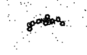 Oc1cccc(Nc2ccc(C3=CC=C4Oc5ccccc5C4C3)cc2)c1-c1ccccc1C1=CC(c2cccc(-c3ccccc3)c2)CC=C1